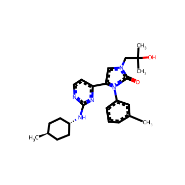 Cc1cccc(-n2c(-c3ccnc(N[C@H]4CC[C@H](C)CC4)n3)cn(CC(C)(C)O)c2=O)c1